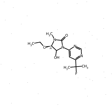 CCO[C@@H]1C(O)N(c2cc(C(C)(C)F)ncn2)C(=O)N1C